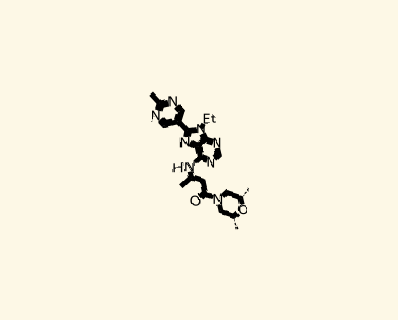 CCn1c(-c2cnc(C)nc2)nc2c(NC(C)CC(=O)N3C[C@@H](C)O[C@@H](C)C3)ncnc21